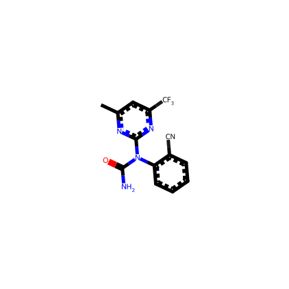 Cc1cc(C(F)(F)F)nc(N(C(N)=O)c2ccccc2C#N)n1